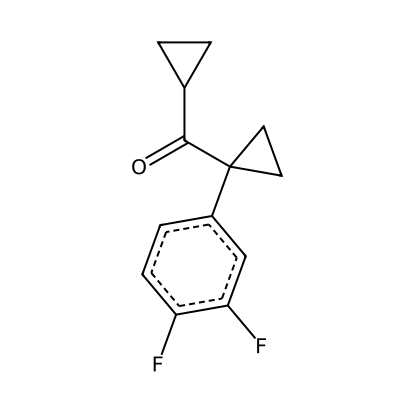 O=C(C1CC1)C1(c2ccc(F)c(F)c2)CC1